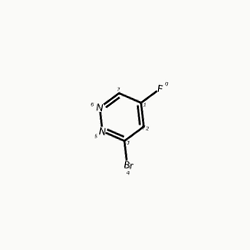 Fc1[c]c(Br)nnc1